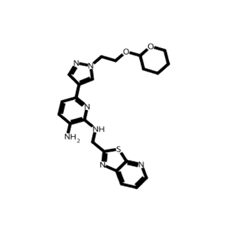 Nc1ccc(-c2cnn(CCOC3CCCCO3)c2)nc1NCc1nc2cccnc2s1